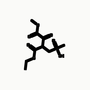 CCOC(=O)C(CP(C)(=O)O)C(=O)C(=O)OC